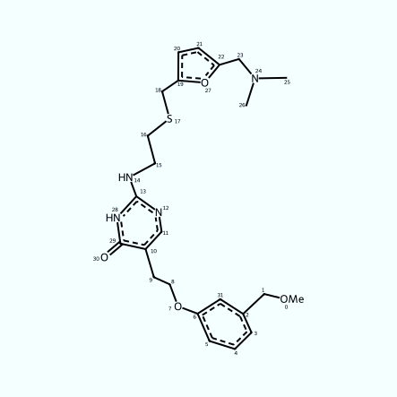 COCc1cccc(OCCc2cnc(NCCSCc3ccc(CN(C)C)o3)[nH]c2=O)c1